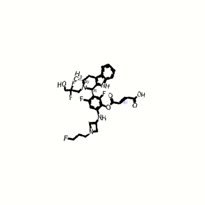 C[C@@H]1Cc2c([nH]c3ccccc23)[C@@H](c2c(F)cc(NC3CN(CCCF)C3)c(OC(=O)/C=C/C(=O)O)c2F)N1CC(F)(F)CO